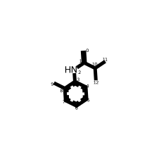 C=C(Nc1ccccc1C)C(C)C